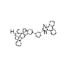 Cc1c2oc3ccccc3c2cc2c1oc1ccc(-c3cccc(-c4cnc5c6ccccc6c6ccccc6c5n4)c3)cc12